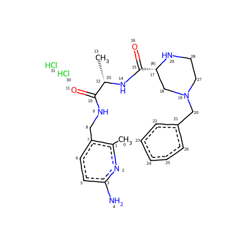 Cc1nc(N)ccc1CNC(=O)[C@H](C)NC(=O)[C@H]1CN(Cc2ccccc2)CCN1.Cl.Cl